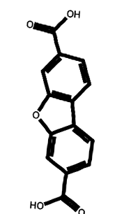 O=C(O)c1ccc2c(c1)oc1cc(C(=O)O)ccc12